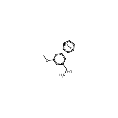 COc1cccc(CN)c1.Cl.c1cc2ccc1CO2